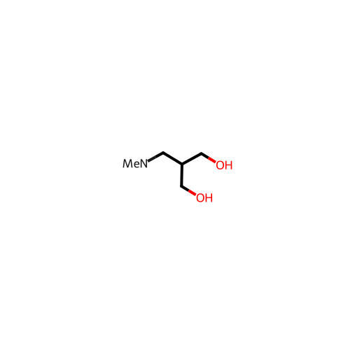 CNCC(CO)CO